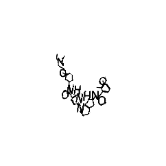 CCN(CC)CCOc1cccc(CNC(=O)c2ccc(N3CCCC4CC(NC(=O)c5cccc(OC)c5C)CC43)nc2)c1